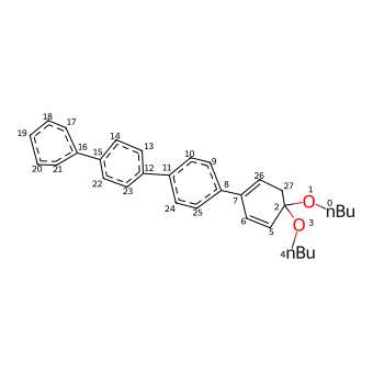 CCCCOC1(OCCCC)C=CC(c2ccc(-c3ccc(-c4ccccc4)cc3)cc2)=CC1